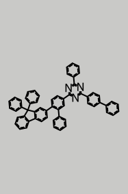 c1ccc(-c2ccc(-c3nc(-c4ccccc4)nc(-c4ccc(-c5ccc6c(c5)C(c5ccccc5)(c5ccccc5)c5ccccc5-6)c(-c5ccccc5)c4)n3)cc2)cc1